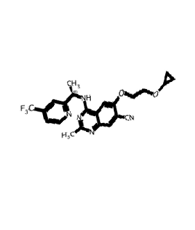 Cc1nc(N[C@H](C)c2cc(C(F)(F)F)ccn2)c2cc(OCCOC3CC3)c(C#N)cc2n1